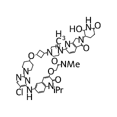 CNC(=O)COc1cc2cc(Nc3nc(N4CCC(O[C@H]5C[C@H](N6CCN(c7ccc8c(n7)CN(C7CCC(=O)NC7O)C8=O)[C@@H](C)C6)C5)CC4)ncc3Cl)ccc2n(C(C)C)c1=O